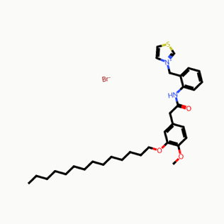 CCCCCCCCCCCCCCOc1cc(CC(=O)Nc2ccccc2C[n+]2ccsc2)ccc1OC.[Br-]